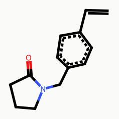 C=Cc1ccc(CN2CCCC2=O)cc1